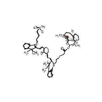 C[C@H]1C(OC(=O)CCCCCN2/C(=C/C=C3\CCCC(/C=C/C4=[N+](CCCCS(=O)(=O)O)c5ccccc5C4(C)C)=C3Cl)C(C)(C)c3ccccc32)O[C@@H]2O[C@@]3(C)CC[C@H]4CCC[C@@H]1[C@]42OO3